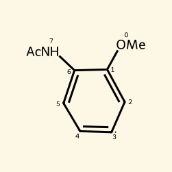 COc1c[c]ccc1NC(C)=O